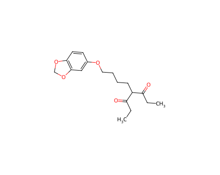 CCC(=O)C(CCCCOc1ccc2c(c1)OCO2)C(=O)CC